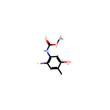 Cc1cc(I)c(NC(=O)OC(C)(C)C)cc1O